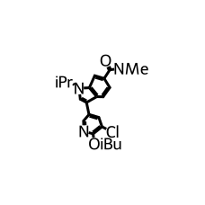 CNC(=O)c1ccc2c(-c3cnc(OCC(C)C)c(Cl)c3)cn(C(C)C)c2c1